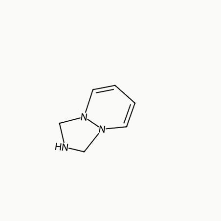 C1=CN2CNCN2C=C1